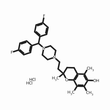 Cc1c(C)c2c(c(C)c1O)CCC(C)(CCN1CCN(C(c3ccc(F)cc3)c3ccc(F)cc3)CC1)O2.Cl.Cl